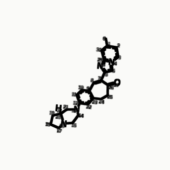 Cc1ccn2cc(C3=Cc4ccc(N5CCN6CCC[C@H]6C5)cc4CCC3=O)nc2c1